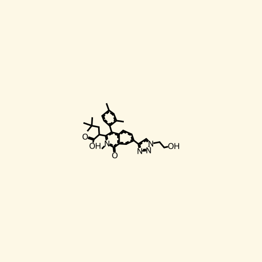 Cc1ccc(-c2c(C(CC(C)(C)C)C(=O)O)n(C)c(=O)c3cc(-c4cn(CCO)nn4)ccc23)c(C)c1